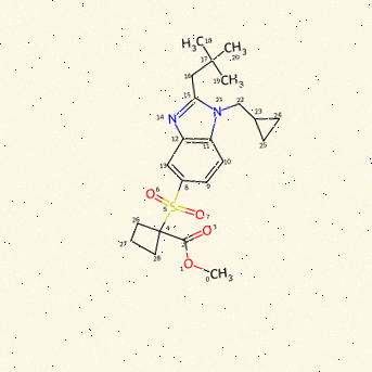 COC(=O)C1(S(=O)(=O)c2ccc3c(c2)nc(CC(C)(C)C)n3CC2CC2)CCC1